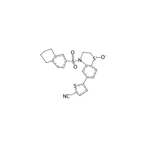 N#Cc1ccc(-c2ccc3c(c2)N(S(=O)(=O)c2ccc4c(c2)CCCC4)CC[S+]3[O-])s1